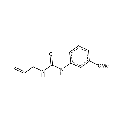 C=CCNC(=O)Nc1cccc(OC)c1